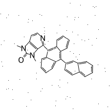 Cn1c(=O)n(C)c2c(-c3c4ccccc4c(-c4ccc5ccccc5c4)c4ccccc34)nccc21